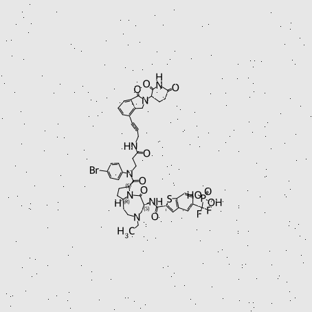 CCN1CC[C@H]2CC[C@@H](C(=O)N(CCC(=O)NCC#Cc3cccc4c3CN(C3CCC(=O)NC3=O)C4=O)c3ccc(Br)cc3)N2C(=O)[C@@H](NC(=O)c2cc3cc(C(F)(F)P(=O)(O)O)ccc3s2)C1